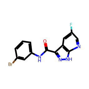 O=C(Nc1cccc(Br)c1)c1n[nH]c2ncc(F)cc12